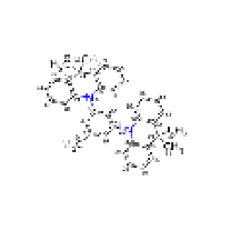 Cc1cc(N2c3ccccc3C(C)(C)c3ccccc32)cc(N2c3ccccc3C(C)(C)c3ccccc32)c1